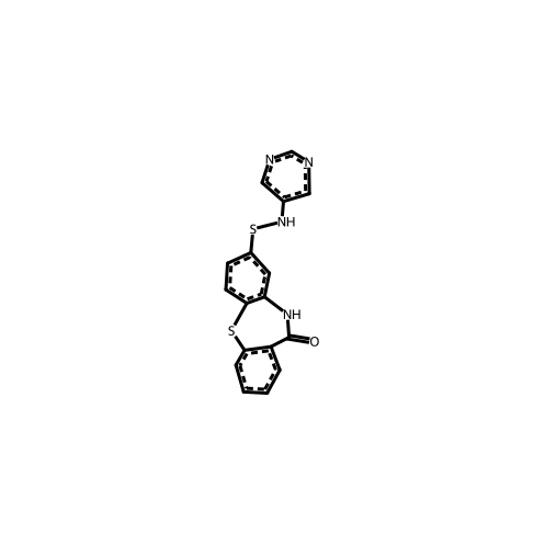 O=C1Nc2cc(SNc3cncnc3)ccc2Sc2ccccc21